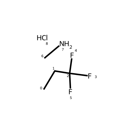 CCC(F)(F)F.CN.Cl